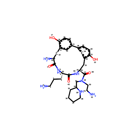 NCCC[C@@H]1NC(=O)[C@@H](N)Cc2cc(ccc2O)-c2ccc(O)c(c2)C[C@@H](C(=O)N(CCN)CC2CCCCN2)NC1=O